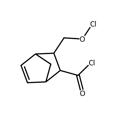 O=C(Cl)C1C2C=CC(C2)C1COCl